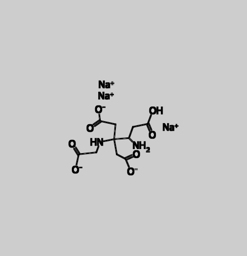 NC(CC(=O)O)C(CC(=O)[O-])(CC(=O)[O-])NCC(=O)[O-].[Na+].[Na+].[Na+]